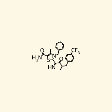 CC1=C(C(N)=O)SC(C(=N)C(=O)C(C)Cc2ccc(C(F)(F)F)cc2)N1Cc1ccccc1